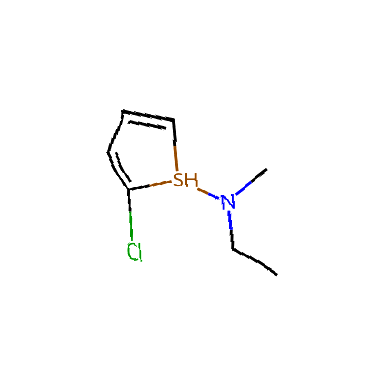 CCN(C)[SH]1C=CC=C1Cl